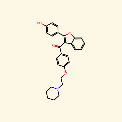 O=C(c1ccc(OCCN2CCCCC2)cc1)c1c(-c2ccc(O)cc2)oc2ccccc12